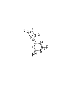 CC1=CC2(C)C1C2c1cc(F)cc(F)c1